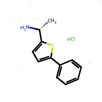 C[C@@H](N)c1ccc(-c2ccccc2)s1.Cl